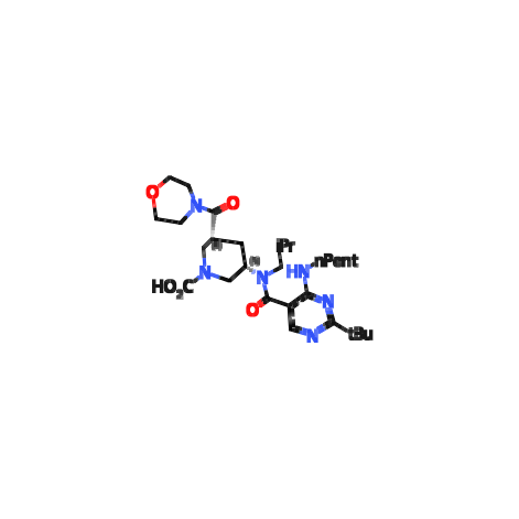 CCCCCNc1nc(C(C)(C)C)ncc1C(=O)N(CC(C)C)[C@H]1C[C@@H](C(=O)N2CCOCC2)CN(C(=O)O)C1